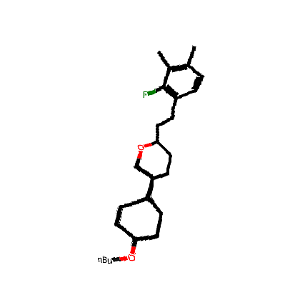 CCCCOC1CCC(C2CCC(CCc3ccc(C)c(C)c3F)OC2)CC1